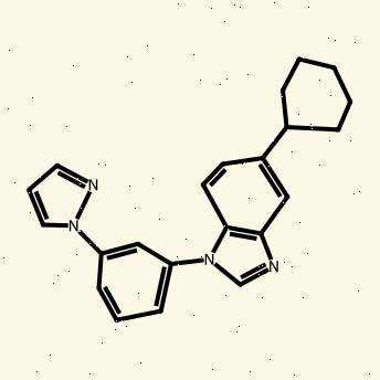 c1cc(-n2cccn2)cc(-n2cnc3cc(C4CCCCC4)ccc32)c1